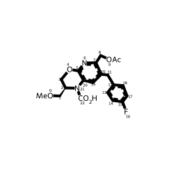 COC[C@H]1COc2nc(COC(C)=O)c(Cc3ccc(F)cc3)cc2N1C(=O)O